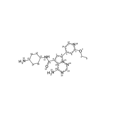 CCOc1cc(-c2cc(C(=O)NC3CCC(N)CC3)c3c(N)ncnn23)ccn1